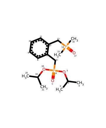 CC(C)OP(=O)(Cc1ccccc1CP(C)(C)=O)OC(C)C